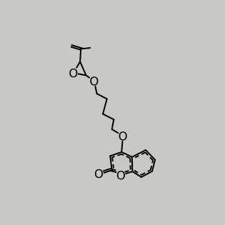 C=C(C)C1OC1OCCCCCOc1cc(=O)oc2ccccc12